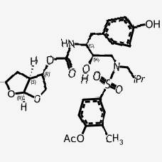 CC(=O)Oc1ccc(S(=O)(=O)N(CC(C)C)C[C@@H](O)[C@H](Cc2ccc(O)cc2)NC(=O)O[C@H]2CO[C@H]3OCC[C@H]32)cc1C